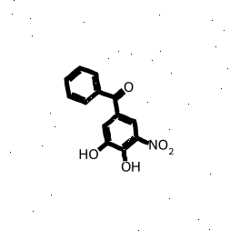 O=C(c1ccccc1)c1cc(O)c(O)c([N+](=O)[O-])c1